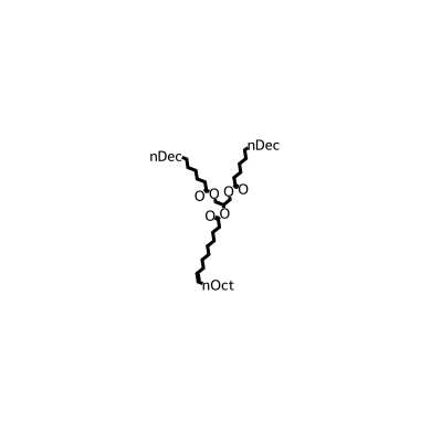 CCCCCCCC/C=C\CCCCCCCC(=O)OC(COC(=O)CCCCCCCCCCCCCCC)COC(=O)CCCCCCCCCCCCCCC